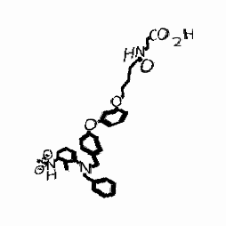 Cc1c(NS(C)(=O)=O)cccc1N(Cc1ccccc1)Cc1ccc(Oc2cccc(OCCCCC(=O)NCCC(=O)O)c2)cc1